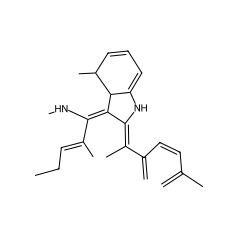 C=C(C)/C=C\C(=C)\C(C)=C1/NC2=CC=CC(C)C2/C1=C(NC)/C(C)=C/CC